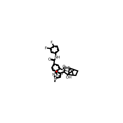 Cn1cc(C(O)C(O)[C@]2(O)C3CCC2C[C@@H](S(=O)(=O)c2cc(C(=O)Nc4ccc(F)c(F)c4)ccc2Cl)C3)cn1